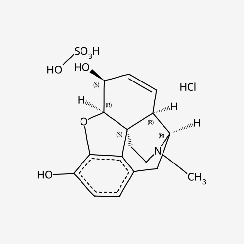 CN1CC[C@]23c4c5ccc(O)c4O[C@H]2[C@@H](O)C=C[C@H]3[C@H]1C5.Cl.O=S(=O)(O)O